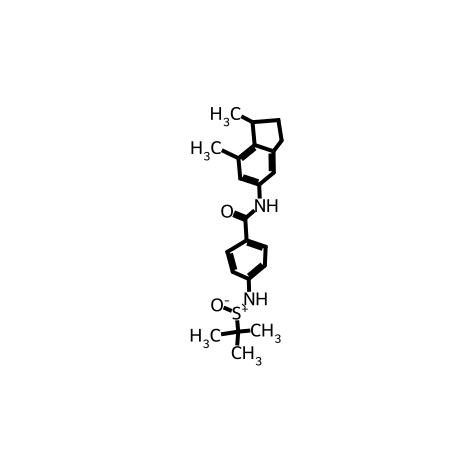 Cc1cc(NC(=O)c2ccc(N[S+]([O-])C(C)(C)C)cc2)cc2c1C(C)CC2